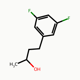 CC(O)CCc1cc(F)cc(F)c1